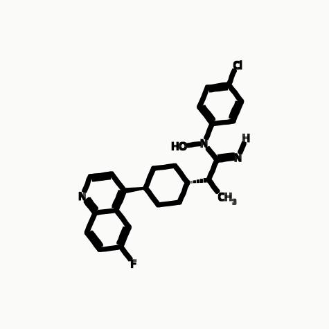 [H]/N=C(/C(C)[C@H]1CC[C@H](c2ccnc3ccc(F)cc32)CC1)N(O)c1ccc(Cl)cc1